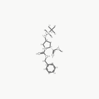 COC(=O)[C@H]1CC(O[Si](C)(C)C(C)(C)C)CN1C(=O)OCc1ccccc1